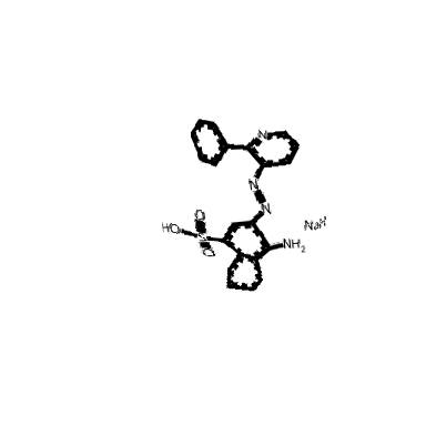 Nc1c(N=Nc2cccnc2-c2ccccc2)cc(S(=O)(=O)O)c2ccccc12.[NaH]